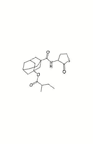 CCC(C)C(=O)OC12CC3CC(C1)CC(C(=O)NC1CCSC1=O)(C3)C2